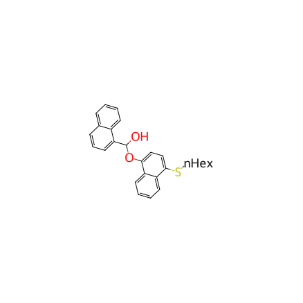 CCCCCCSc1ccc(OC(O)c2cccc3ccccc23)c2ccccc12